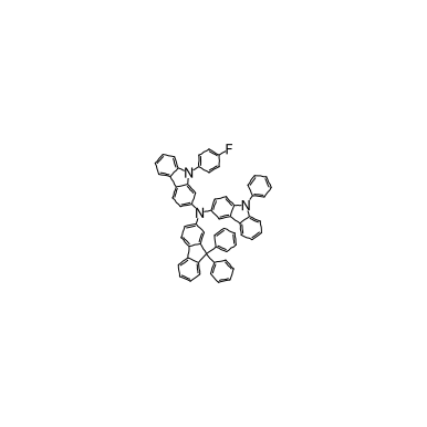 Fc1ccc(-n2c3ccccc3c3ccc(N(c4ccc5c(c4)C(c4ccccc4)(c4ccccc4)c4ccccc4-5)c4ccc5c(c4)c4ccccc4n5-c4ccccc4)cc32)cc1